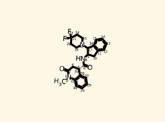 CN1C(=O)C[C@H](C(=O)NC2Cc3ccccc3C2N2CCC(F)(F)CC2)c2ccccc21